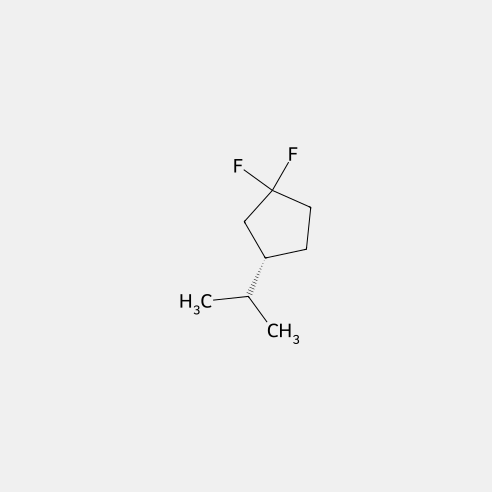 CC(C)[C@H]1CCC(F)(F)C1